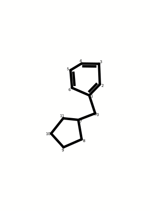 [CH](c1ccccc1)C1CCCC1